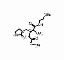 CC(=O)OC(C(=O)NCCOCC(C)C)[C@H](C[C@@H]1CCNC1=O)NC(=O)OC(C)(C)C